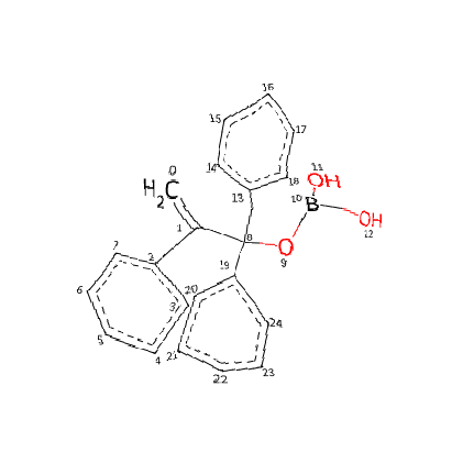 C=C(c1ccccc1)C(OB(O)O)(c1ccccc1)c1ccccc1